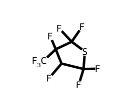 FC1C(F)(F)SC(F)(F)C1(F)C(F)(F)F